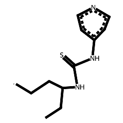 [CH2]CCC(CC)NC(=S)Nc1ccncc1